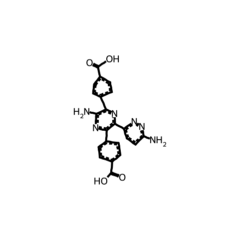 Nc1ccc(-c2nc(-c3ccc(C(=O)O)cc3)c(N)nc2-c2ccc(C(=O)O)cc2)nn1